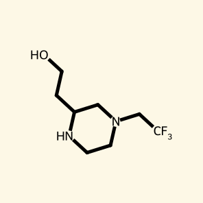 OCCC1CN(CC(F)(F)F)CCN1